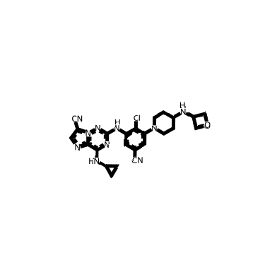 N#Cc1cc(Nc2nc(NC3CC3)c3ncc(C#N)n3n2)c(Cl)c(N2CCC(NC3COC3)CC2)c1